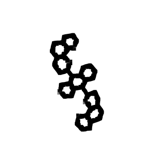 c1cnc2c(c1)ccc1ccc(-c3c4ccccc4c(-c4ccc5ccc6cccnc6c5n4)c4cnccc34)nc12